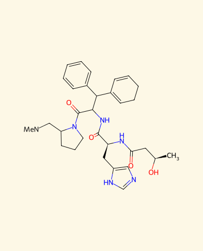 CNCC1CCCN1C(=O)C(NC(=O)[C@H](Cc1cnc[nH]1)NC(=O)C[C@@H](C)O)C(C1=CCCC=C1)c1ccccc1